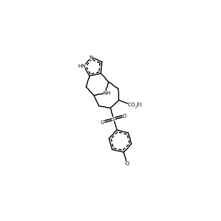 CCOC(=O)C1CC2NC(Cc3[nH]ncc32)CC1S(=O)(=O)c1ccc(Cl)cc1